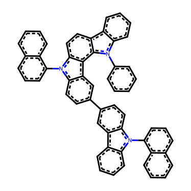 c1ccc(-n2c3ccccc3c3ccc4c(c5cc(-c6ccc7c(c6)c6ccccc6n7-c6cccc7ccccc67)ccc5n4-c4cccc5ccccc45)c32)cc1